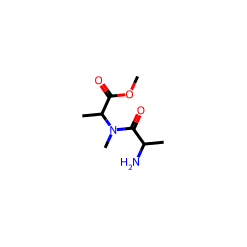 COC(=O)C(C)N(C)C(=O)C(C)N